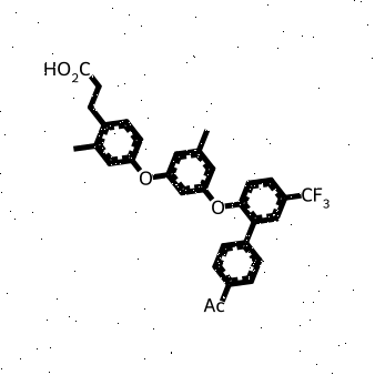 CC(=O)c1ccc(-c2cc(C(F)(F)F)ccc2Oc2cc(C)cc(Oc3ccc(CCC(=O)O)c(C)c3)c2)cc1